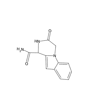 NC(=O)C1NC(=O)Cn2c1cc1ccccc12